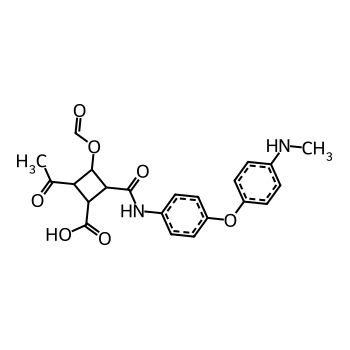 CNc1ccc(Oc2ccc(NC(=O)C3C(OC=O)C(C(C)=O)C3C(=O)O)cc2)cc1